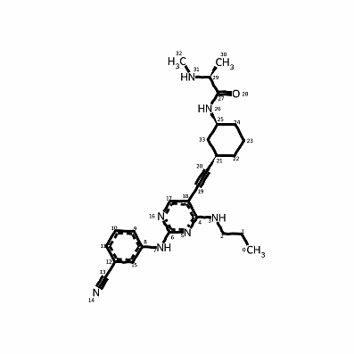 CCCNc1nc(Nc2cccc(C#N)c2)ncc1C#C[C@@H]1CCC[C@H](NC(=O)[C@H](C)NC)C1